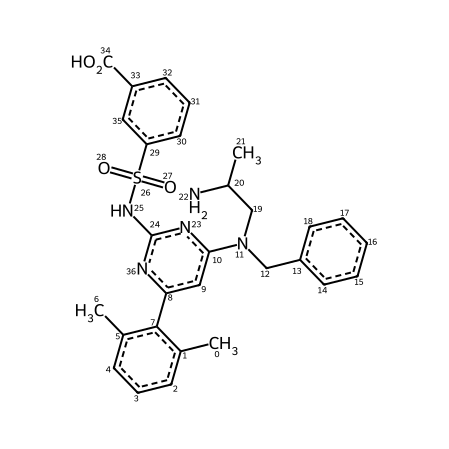 Cc1cccc(C)c1-c1cc(N(Cc2ccccc2)CC(C)N)nc(NS(=O)(=O)c2cccc(C(=O)O)c2)n1